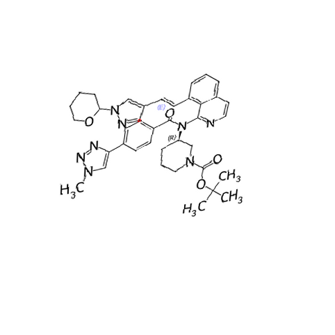 Cn1cc(-c2ccc(C(=O)N(c3nccc4cccc(/C=C/c5cnn(C6CCCCO6)c5)c34)[C@@H]3CCCN(C(=O)OC(C)(C)C)C3)cc2)nn1